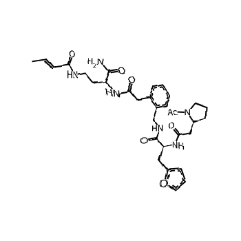 C/C=C/C(=O)NCC[C@H](NC(=O)Cc1ccccc1CNC(=O)[C@H](Cc1ccco1)NC(=O)C[C@@H]1CCCN1C(C)=O)C(N)=O